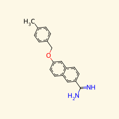 Cc1ccc(COc2ccc3cc(C(=N)N)ccc3c2)cc1